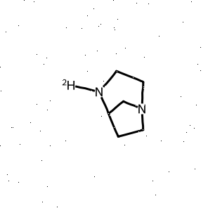 [2H]N1CCN2CCC1C2